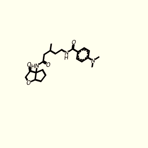 CC(CCNC(=O)c1ccc(N(C)C)cc1)CC(=O)NC12CCCC1OCC2=O